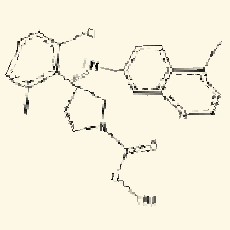 Cc1cccc(Cl)c1[C@]1(Nc2ccc3c(C)ccnc3c2)CCN(C(=O)OC(C)(C)C)C1